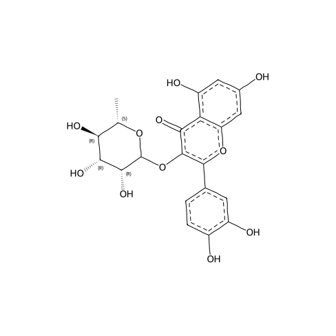 C[C@@H]1OC(Oc2c(-c3ccc(O)c(O)c3)oc3cc(O)cc(O)c3c2=O)[C@H](O)[C@H](O)[C@H]1O